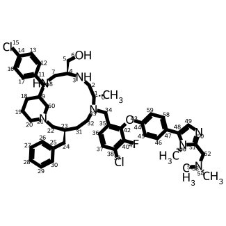 C[C@H]1CN[C@H](CO)CN[C@@]2(Cc3ccc(Cl)cc3)CCCN(C[C@H](Cc3ccccc3)CCN1Cc1ccc(Cl)c(F)c1Oc1ccc(-c3cnc(CN(C)C)n3C)cc1)C2